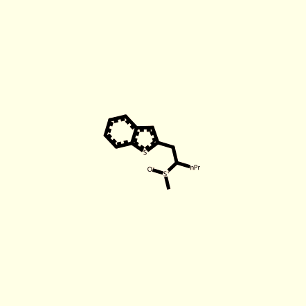 C[CH]CC(Cc1cc2ccccc2s1)[S+](C)[O-]